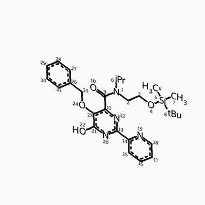 CC(C)N(CCO[Si](C)(C)C(C)(C)C)C(=O)c1nc(-c2ccccn2)nc(O)c1OCc1ccccc1